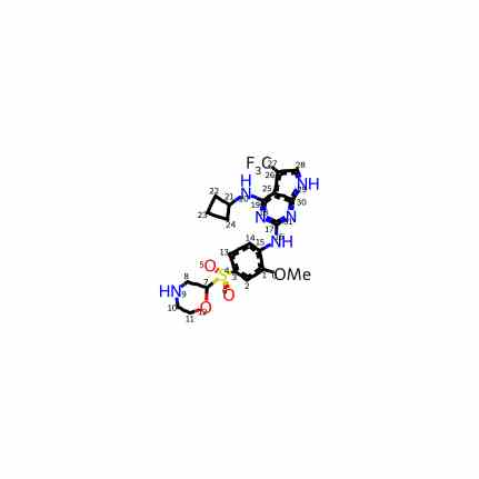 COc1cc(S(=O)(=O)C2CNCCO2)ccc1Nc1nc(NC2CCC2)c2c(C(F)(F)F)c[nH]c2n1